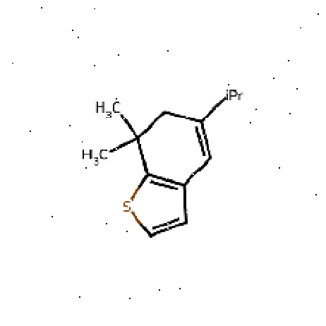 CC(C)C1=Cc2ccsc2C(C)(C)C1